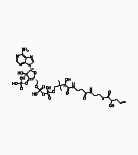 C=CCC(O)C(=O)SCCNC(=O)CCNC(=O)[C@H](O)C(C)(C)COP(=O)(O)OP(=O)(O)OC[C@H]1O[C@@H](n2cnc3c(N)ncnc32)[C@H](O)[C@@H]1OP(=O)(O)O